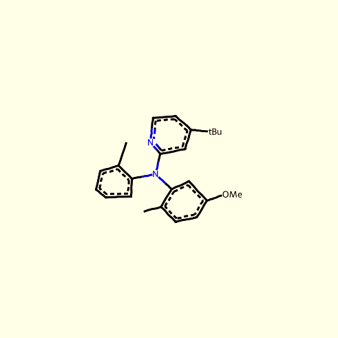 COc1ccc(C)c(N(c2cc(C(C)(C)C)ccn2)c2ccccc2C)c1